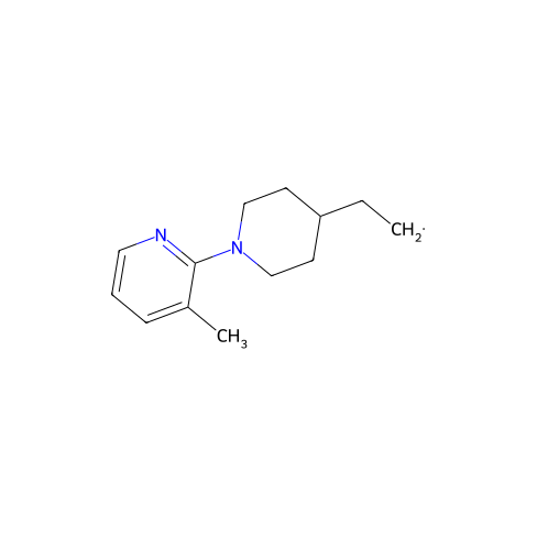 [CH2]CC1CCN(c2ncccc2C)CC1